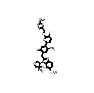 COc1nnc(COc2nc(-c3cc(F)c(Cc4nc5ccc(C(=O)O)cc5n4[C@@H]4COCC4(C)C)cc3C)ccc2F)s1